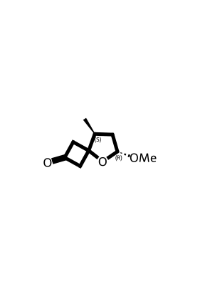 CO[C@H]1C[C@H](C)C2(CC(=O)C2)O1